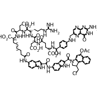 CC(=O)Oc1cc2c(c3ccccc13)C(CCl)CN2C(=O)c1cc2cc(NC(=O)c3cc4cc(NC(=O)CCSSC[C@H](NC(=O)C(CC(=O)O)NC(=O)[C@H](CCCNC(=N)N)NC(=O)[C@H](CC(=O)O)NC(=O)CC[C@H](NC(=O)c5ccc(NCc6cnc7nc(N)[nH]c(=O)c7n6)cc5)C(=O)O)C(=O)O)ccc4[nH]3)ccc2[nH]1